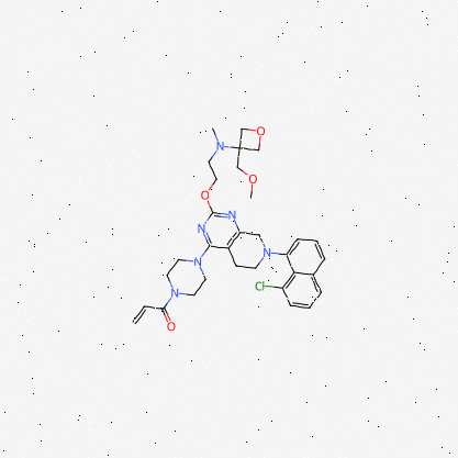 C=CC(=O)N1CCN(c2nc(OCCN(C)C3(COC)COC3)nc3c2CCN(c2cccc4cccc(Cl)c24)C3)CC1